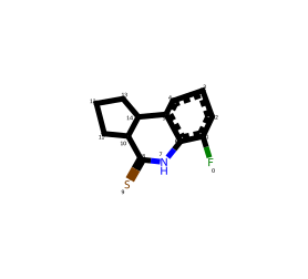 Fc1cccc2c1NC(=S)C1CCCC21